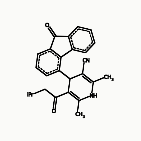 CC1=C(C#N)C(c2cccc3c2-c2ccccc2C3=O)C(C(=O)CC(C)C)=C(C)N1